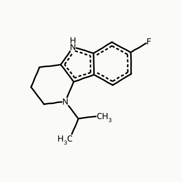 CC(C)N1CCCc2[nH]c3cc(F)ccc3c21